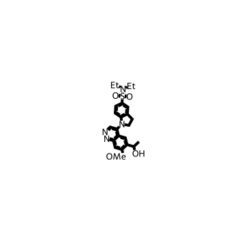 CCN(CC)S(=O)(=O)c1ccc2c(c1)CCN2c1cnnc2cc(OC)c(C(C)O)cc12